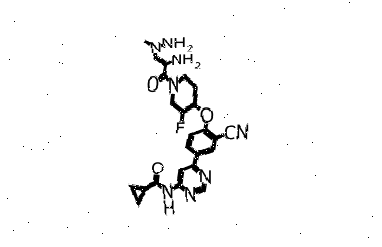 CN(N)/C=C(\N)C(=O)N1CCC(Oc2ccc(-c3cc(NC(=O)C4CC4)ncn3)cc2C#N)C(F)C1